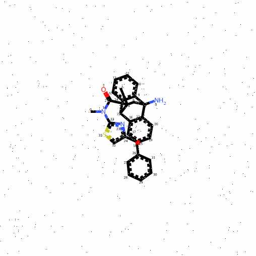 CN(C(=O)C1(C)CC2(N)c3ccccc3C1c1ccccc12)c1nc(Cc2ccccc2)cs1